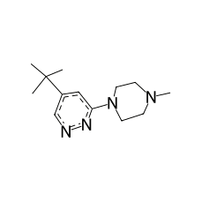 CN1CCN(c2cc(C(C)(C)C)cnn2)CC1